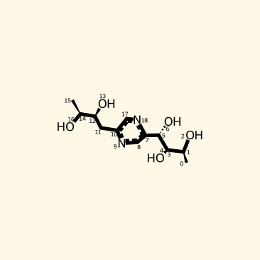 C[C@H](O)[C@@H](O)[C@@H](O)c1cnc(C[C@H](O)[C@H](C)O)cn1